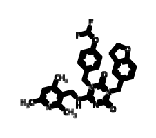 Cc1cc(C)c(CNc2nc(=O)n(Cc3ccc4c(c3)CCO4)c(=O)n2Cc2ccc(OC(F)F)cc2)c(C)n1